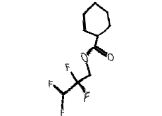 O=C(OCC(F)(F)C(F)F)C1CCCCC1